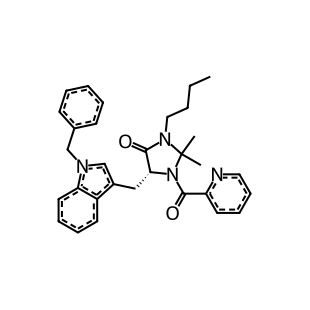 CCCCN1C(=O)[C@@H](Cc2cn(Cc3ccccc3)c3ccccc23)N(C(=O)c2ccccn2)C1(C)C